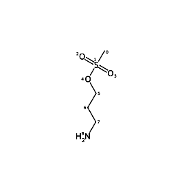 CS(=O)(=O)OCCCN